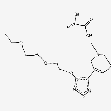 CCOCCOCCOc1nsnc1C1=CCCN(C)C1.O=C(O)C(=O)O